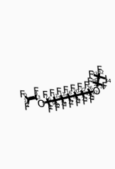 FC(F)=C(F)OC(F)(F)C(F)(F)C(F)(F)C(F)(F)C(F)(F)C(F)(F)C(F)(F)OC(F)(F)C(F)(F)I